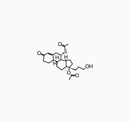 CC(=O)O[C@@]1(CCCO)CC[C@H]2[C@@H]3[C@H](SC(C)=O)CC4=CC(=O)CC[C@]4(C)[C@H]3CC[C@@]21C